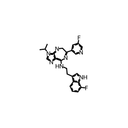 CC(C)n1cnc2c1=NCC(c1cncc(F)c1)=NC=2NCCc1c[nH]c2c(F)cccc12